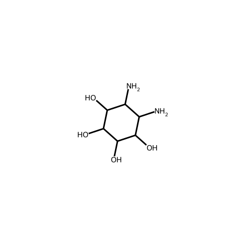 NC1C(N)C(O)C(O)C(O)C1O